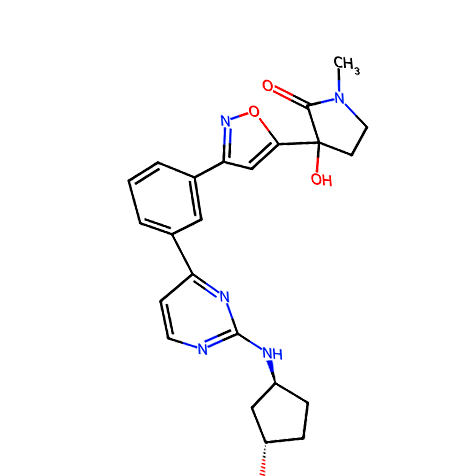 CN1CCC(O)(c2cc(-c3cccc(-c4ccnc(N[C@H]5CC[C@H](O)C5)n4)c3)no2)C1=O